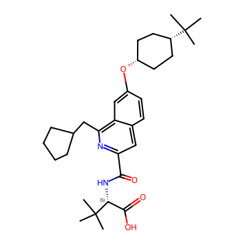 CC(C)(C)[C@H](NC(=O)c1cc2ccc(O[C@H]3CC[C@@H](C(C)(C)C)CC3)cc2c(CC2CCCC2)n1)C(=O)O